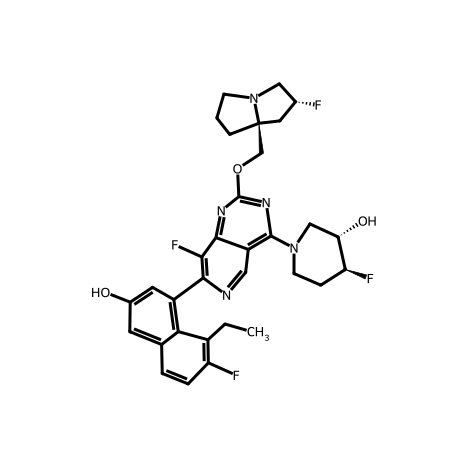 CCc1c(F)ccc2cc(O)cc(-c3ncc4c(N5CC[C@H](F)[C@@H](O)C5)nc(OC[C@@]56CCCN5C[C@H](F)C6)nc4c3F)c12